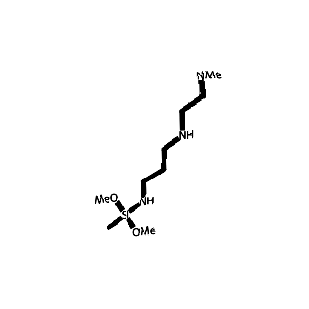 CNCCNCCCN[Si](C)(OC)OC